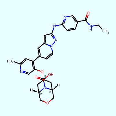 CCNC(=O)c1ccc(Nc2cc3cc(-c4cc(C)ncc4O[C@H]4C[C@H]5COC[C@@H](C4)N5C(=O)O)ccn3n2)nc1